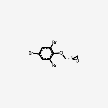 Brc1cc(Br)c(OC[C@@H]2CO2)c(Br)c1